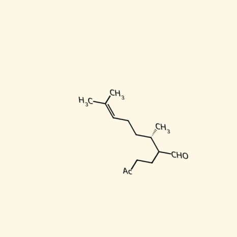 CC(=O)CCC(C=O)[C@@H](C)CCC=C(C)C